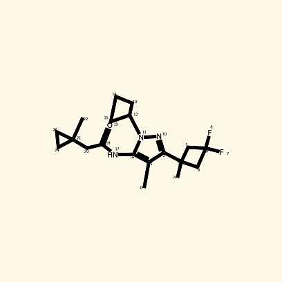 Cc1c(C2(C)CC(F)(F)C2)nn(C2CCC2)c1NC(=O)CC1(C)CC1